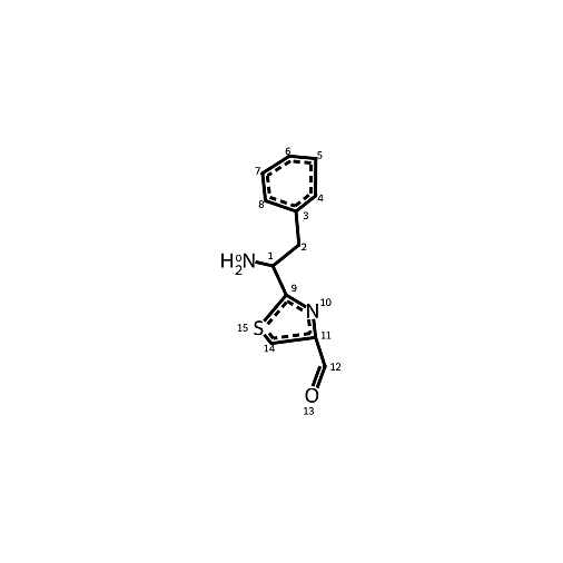 NC(Cc1ccccc1)c1nc(C=O)cs1